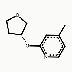 Cc1ccnc(O[C@@H]2CCOC2)c1